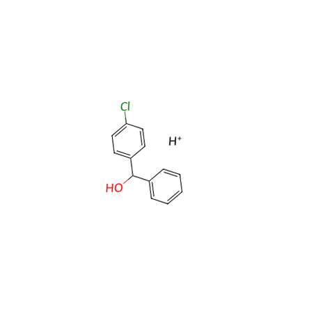 OC(c1ccccc1)c1ccc(Cl)cc1.[H+]